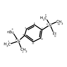 CCCC[Si](C)(C)c1ccc([Si](C)(C)CC)cc1